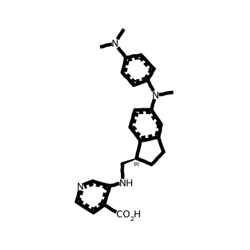 CN(C)c1ccc(N(C)c2ccc3c(c2)CC[C@H]3CNc2cnccc2C(=O)O)cc1